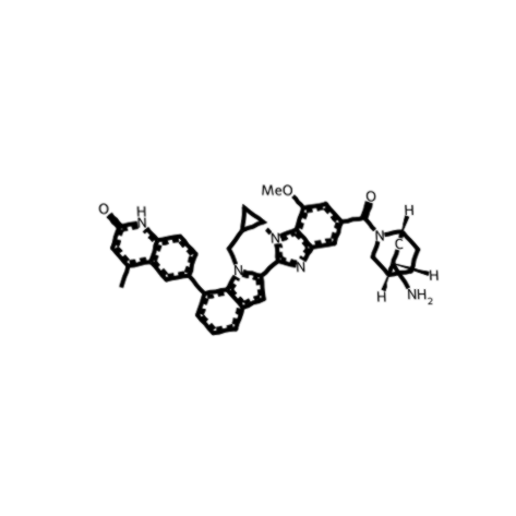 COc1cc(C(=O)N2C[C@H]3CC[C@@H]2C[C@@H]3N)cc2nc(-c3cc4cccc(-c5ccc6[nH]c(=O)cc(C)c6c5)c4n3CC3CC3)n(C)c12